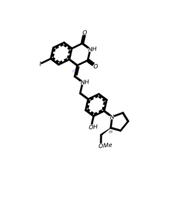 COC[C@@H]1CCCN1c1ccc(CN/C=C2\C(=O)NC(=O)c3ccc(I)cc32)cc1O